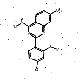 CCNc1nc(-c2ccc(Cl)cc2SCC)nc2cc(C)ccc12